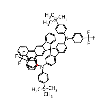 C[Si](C)(C)c1ccc(N(c2ccc(C(F)(F)F)cc2)c2ccc3c(c2)C2(c4ccccc4-c4cc5c6ccccc6c6ccccc6c5cc42)c2cc(N(c4ccc(C(F)(F)F)cc4)c4ccc([Si](C)(C)C)cc4)ccc2-3)cc1